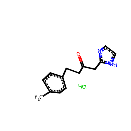 Cl.O=C(CCc1ccc(C(F)(F)F)cc1)Cc1ncc[nH]1